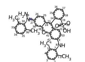 Cc1cccc(C)c1Nc1ccc2c(-c3ccccc3S(=O)(=O)O)c3cc/c(=[N+](\N)c4c(C)cccc4C)cc-3oc2c1